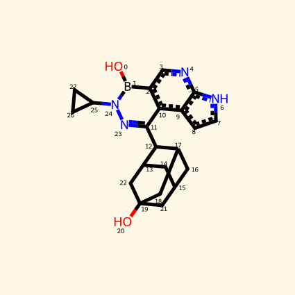 OB1c2cnc3[nH]ccc3c2C(C2C3CC4CC2CC(O)(C4)C3)=NN1C1CC1